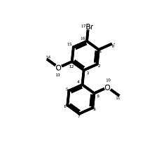 [CH2]c1cc(-c2ccccc2OC)c(OC)cc1Br